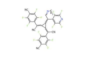 C\N=C/C(=C1\C(=C(C#N)c2c(F)c(F)c(C#N)c(F)c2F)\C1=C(\C#N)c1c(F)c(F)c(C#N)c(F)c1F)c1c(F)c(F)nc(F)c1F